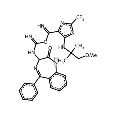 COCC(C)(C)Nc1sc(C(F)(F)F)nc1C(=N)OC(=N)NC1N=C(c2ccccc2)c2ccccc2NC1=O